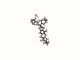 Cc1nonc1C(=O)N[C@H](c1nc2c(F)c(CN3C[C@@H](C(F)(F)F)NC3=O)ccc2o1)C1CCC(F)(F)CC1